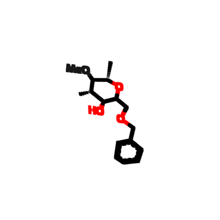 COC1[C@H](C)OC(COCc2ccccc2)[C@@H](O)[C@@H]1C